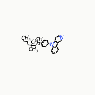 CCCCC(C)(C)CC(C)c1ccc(-n2c3ccccc3c3cnccc32)cc1